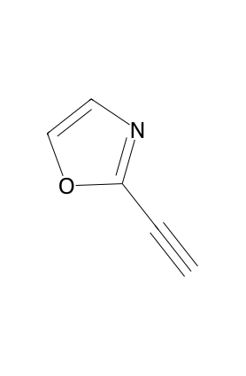 C#Cc1ncco1